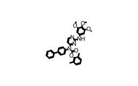 COc1cc(Nc2nccc(N(C(=O)Oc3c(C)cccc3C)c3ccc(-c4ccccc4)cc3)n2)cc(OC)c1OC